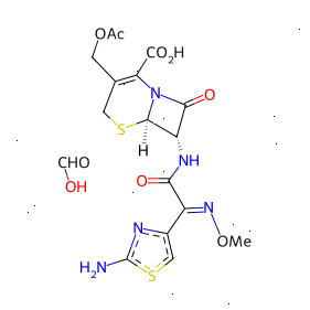 CON=C(C(=O)N[C@H]1C(=O)N2C(C(=O)O)=C(COC(C)=O)CS[C@H]12)c1csc(N)n1.O=CO